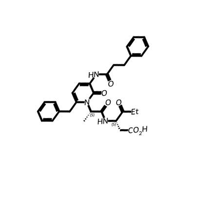 CCC(=O)[C@H](CC(=O)O)NC(=O)[C@H](C)n1c(Cc2ccccc2)ccc(NC(=O)CCc2ccccc2)c1=O